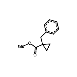 CC(C)(C)OC(=O)C1(Cc2ccccc2)CC1